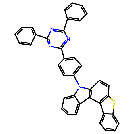 c1ccc(-c2nc(-c3ccccc3)nc(-c3ccc(-n4c5ccccc5c5c6c(ccc54)sc4ccccc46)cc3)n2)cc1